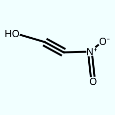 O=[N+]([O-])C#CO